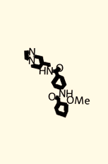 COc1ccccc1C(=O)Nc1ccc(C(=O)NCc2ccn3ccnc3c2)cc1